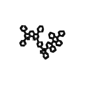 c1ccc(-c2cc(-c3ccccc3)c3ccc4c(-c5ccccc5)cc(-c5ccc(-c6nc7ccccc7n6-c6ccc(-c7c8ccccc8c(-c8ccccc8)c8ccccc78)c7ccccc67)cc5)nc4c3n2)cc1